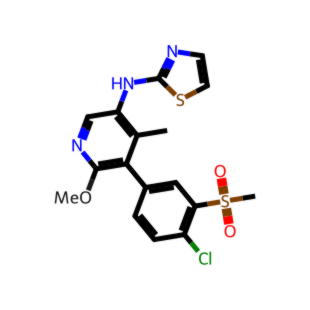 COc1ncc(Nc2nccs2)c(C)c1-c1ccc(Cl)c(S(C)(=O)=O)c1